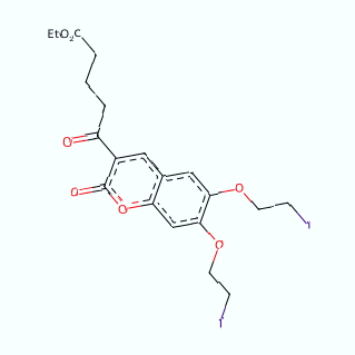 CCOC(=O)CCCC(=O)c1cc2cc(OCCI)c(OCCI)cc2oc1=O